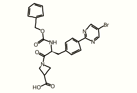 O=C(N[C@@H](Cc1ccc(-c2ncc(Br)cn2)cc1)C(=O)N1CC(C(=O)O)C1)OCc1ccccc1